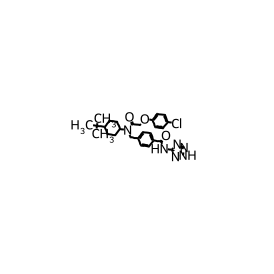 CC(C)(C)C1CCC(N(Cc2ccc(C(=O)Nc3nn[nH]n3)cc2)C(=O)COc2ccc(Cl)cc2)CC1